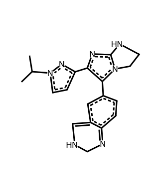 CC(C)n1ccc(-c2nc3n(c2-c2ccc4c(c2)=CNCN=4)CCN3)n1